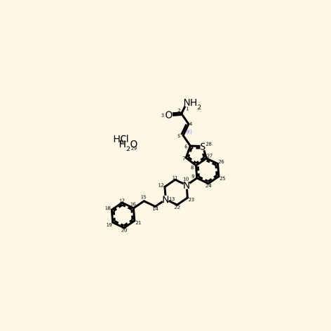 Cl.NC(=O)/C=C/c1cc2c(N3CCN(CCc4ccccc4)CC3)cccc2s1.O